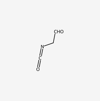 O=C=NCC=O